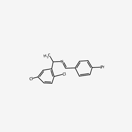 CC(C)c1ccc(C=NC(C)c2cc(Cl)ccc2Cl)cc1